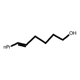 CCC/C=C/CCCCO